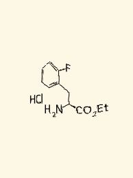 CCOC(=O)[C@@H](N)Cc1ccccc1F.Cl